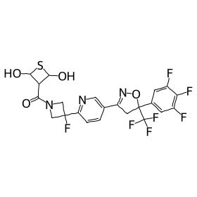 O=C(C1C(O)SC1O)N1CC(F)(c2ccc(C3=NOC(c4cc(F)c(F)c(F)c4)(C(F)(F)F)C3)cn2)C1